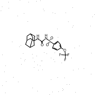 O=C(NC12CC3CC(CC(C3)C1)C2)NS(=O)(=O)c1ccc(OC(F)(F)F)cc1